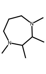 CC1C(C)N(C)CCCN1C